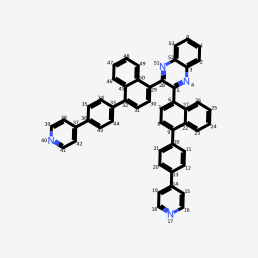 c1ccc2nc(-c3ccc(-c4ccc(-c5ccncc5)cc4)c4ccccc34)c(-c3ccc(-c4ccc(-c5ccncc5)cc4)c4ccccc34)nc2c1